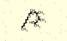 CCCCCCCCOCC(C)OCC(C)OCC(C)OCC(C)O